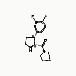 O=C([C@@H]1NCC[C@@H]1c1ccc(F)c(F)c1)N1CCCC1